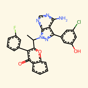 CC(c1oc2ccccc2c(=O)c1-c1cccc(F)c1)n1nc(-c2cc(O)cc(Cl)c2)c2c(N)ncnc21